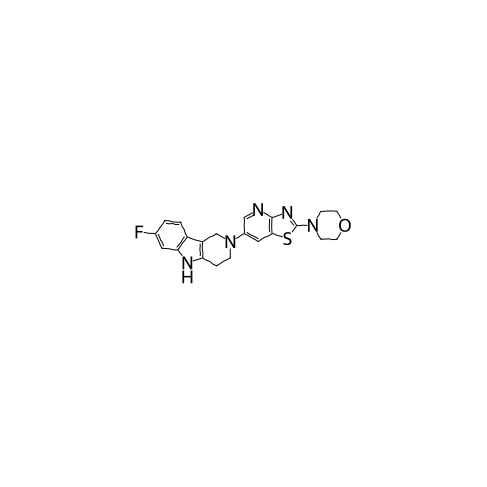 Fc1ccc2c3c([nH]c2c1)CCN(c1cnc2nc(N4CCOCC4)sc2c1)C3